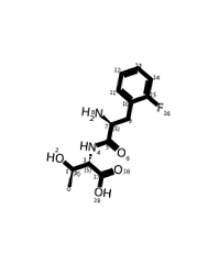 C[C@@H](O)[C@H](NC(=O)[C@@H](N)Cc1ccccc1F)C(=O)O